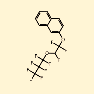 FC(OC(F)(F)C(F)(F)C(F)(F)F)C(F)(F)Oc1ccc2ccccc2c1